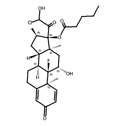 CCCCC(=O)O[C@]1(C(=O)C(O)Cl)[C@H](C)C[C@H]2[C@@H]3CCC4=CC(=O)C=C[C@]4(C)[C@@]3(F)[C@@H](O)C[C@@]21C